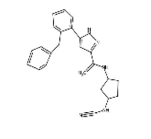 C=C(NC1CCC(NC#N)C1)c1cc(-c2ccccc2Cc2ccccc2)[nH]n1